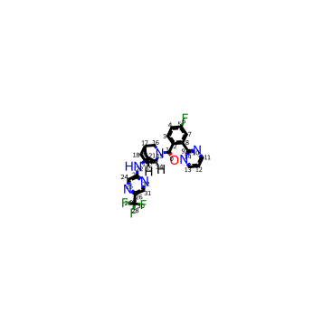 O=C(c1ccc(F)cc1-c1ncccn1)N1CC2CC[C@H]1[C@H](Nc1cnc(C(F)(F)F)cn1)C2